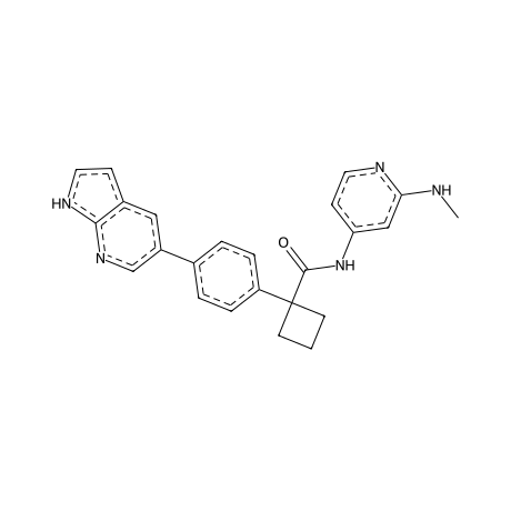 CNc1cc(NC(=O)C2(c3ccc(-c4cnc5[nH]ccc5c4)cc3)CCC2)ccn1